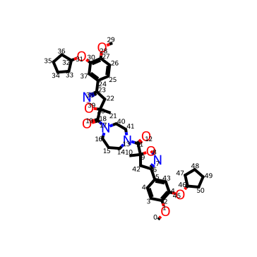 COc1ccc(C2=NOC(C)(C(=O)N3CCCN(C(=O)C4(C)CC(c5ccc(OC)c(OC6CCCC6)c5)=NO4)CC3)C2)cc1OC1CCCC1